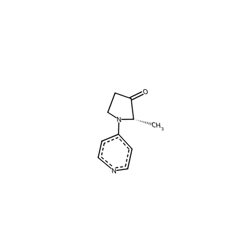 C[C@H]1C(=O)CCN1c1ccncc1